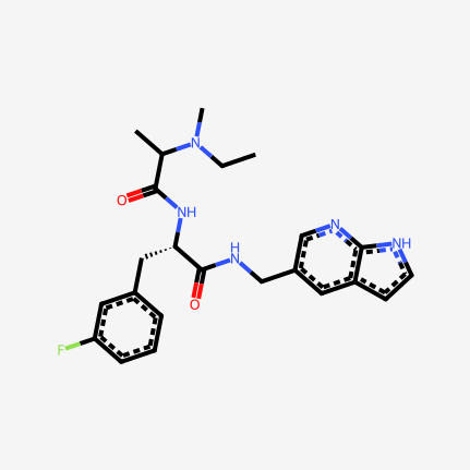 CCN(C)C(C)C(=O)N[C@@H](Cc1cccc(F)c1)C(=O)NCc1cnc2[nH]ccc2c1